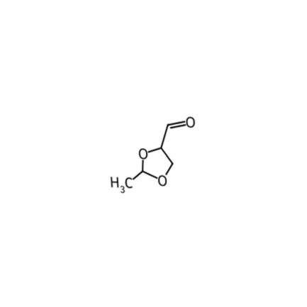 CC1OCC(C=O)O1